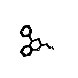 NCC1CC(c2ccccc2)c2ccccc2O1